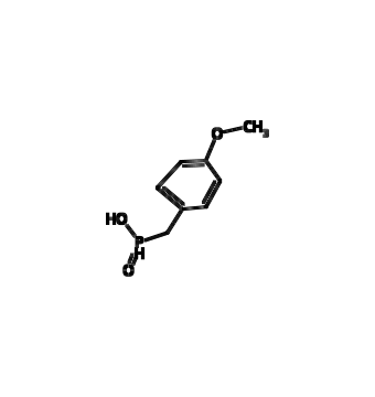 COc1ccc(C[PH](=O)O)cc1